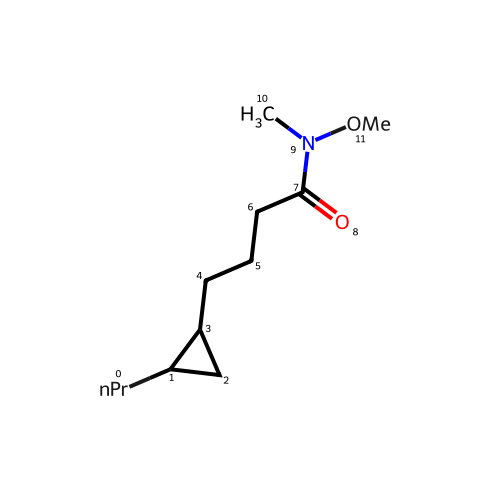 CCCC1CC1CCCC(=O)N(C)OC